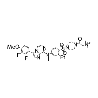 CCc1cc(Nc2nccn3c(-c4ccc(OC)c(F)c4F)cnc23)ccc1S(=O)(=O)N1CCN(C(=O)C[N+](C)(C)C)CC1